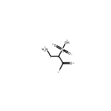 NCC(C(=O)I)S(=O)(=O)O